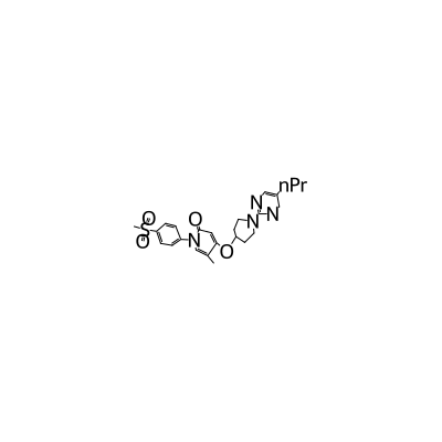 CCCc1cnc(N2CCC(Oc3cc(=O)n(-c4ccc(S(C)(=O)=O)cc4)cc3C)CC2)nc1